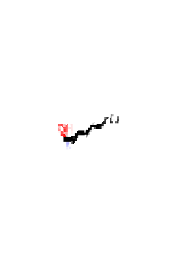 CCCCCCCC/C=C\O